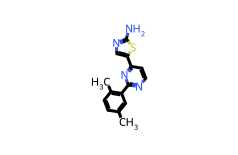 Cc1ccc(C)c(-c2nccc(-c3cnc(N)s3)n2)c1